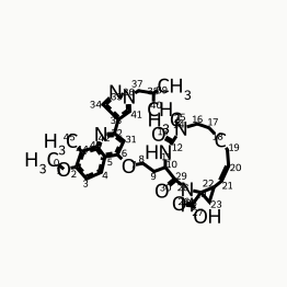 COc1ccc2c(OCCC3NC(=O)N(C)CCCCC=CC4CC4(C(=O)O)NC3=O)cc(-c3cnn(CC(C)C)c3)nc2c1C